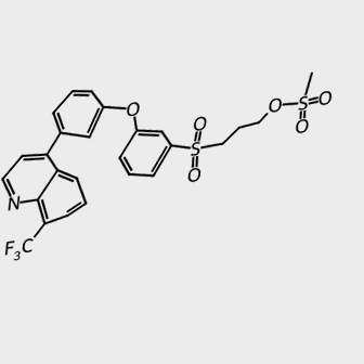 CS(=O)(=O)OCCCS(=O)(=O)c1cccc(Oc2cccc(-c3ccnc4c(C(F)(F)F)cccc34)c2)c1